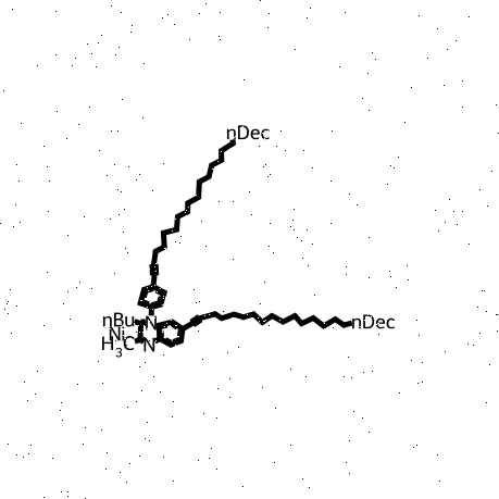 CCCCCCCCCCCCCCCCCCCCCCCCC#Cc1ccc(N=C(C)C(CCCC)=Nc2ccc(C#CCCCCCCCCCCCCCCCCCCCCCCCC)cc2)cc1.[Ni]